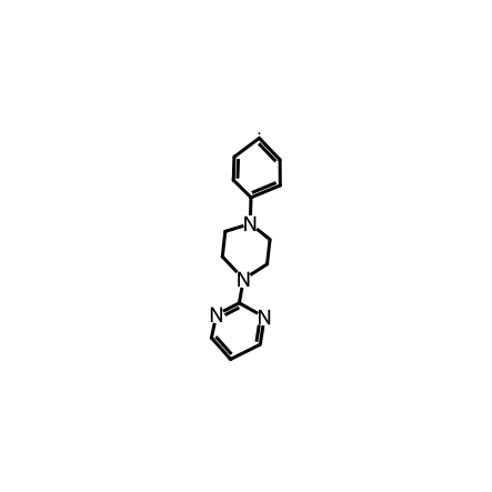 [c]1ccc(N2CCN(c3ncccn3)CC2)cc1